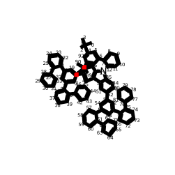 CC(C)(C)c1cc(-c2ccccc2-n2c3ccc(-c4cc(-c5ccccc5-c5ccccc5)cc(-c5ccccc5-c5ccccc5)c4)cc3c3cc(-c4cc(-c5ccccc5-c5ccccc5)cc(-c5ccccc5-c5ccccc5)c4)ccc32)cc(C(C)(C)C)c1